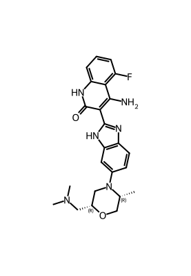 C[C@@H]1CO[C@H](CN(C)C)CN1c1ccc2nc(-c3c(N)c4c(F)cccc4[nH]c3=O)[nH]c2c1